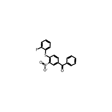 O=C(c1ccccc1)c1ccc(Sc2ccccc2F)c([N+](=O)[O-])c1